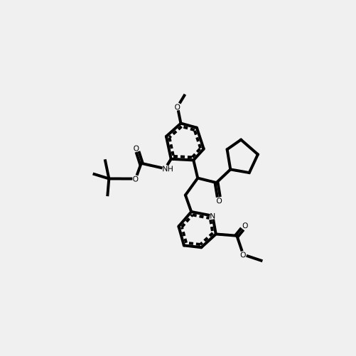 COC(=O)c1cccc(CC(C(=O)C2CCCC2)c2ccc(OC)cc2NC(=O)OC(C)(C)C)n1